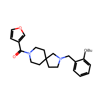 CC(C)COc1ccccc1CN1CCC2(CCN(C(=O)c3ccoc3)CC2)C1